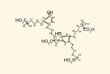 CC(C)(CCCCc1cc(C2CC2(CCCCc2ccc(O)cc2CCCCC(C)(C)C(=O)O)C(=O)O)c(O)cc1CCCCC1(C(=O)O)CC1)C(=O)O